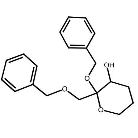 OC1CCCOC1(COCc1ccccc1)OCc1ccccc1